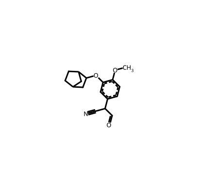 COc1ccc(C(C#N)C=O)cc1OC1CC2CCC1C2